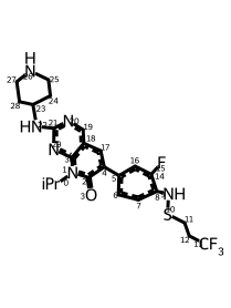 CC(C)n1c(=O)c(-c2ccc(NSCCC(F)(F)F)c(F)c2)cc2cnc(NC3CCNCC3)nc21